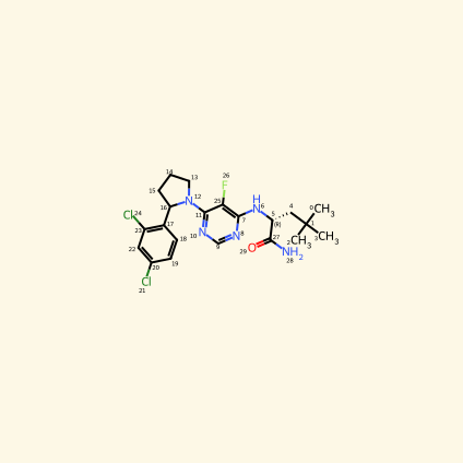 CC(C)(C)C[C@@H](Nc1ncnc(N2CCCC2c2ccc(Cl)cc2Cl)c1F)C(N)=O